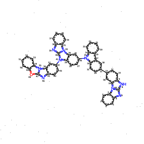 c1ccc2c(c1)nc1[nH]c3ccc(-c4ccc5c(c4)c4ccccc4n5-c4ccc5c(c4)n4c6ccccc6nc4n5-c4ccc5nc6oc7ccccc7n6c5c4)cc3n12